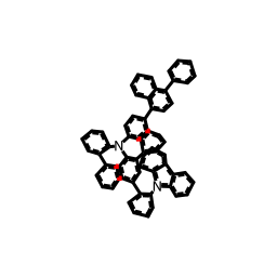 c1ccc(-c2ccccc2N(c2ccc(-c3ccc(-c4ccccc4)c4ccccc34)cc2)c2ccc(-c3ccccc3-n3c4ccccc4c4ccccc43)cc2-c2ccccc2)cc1